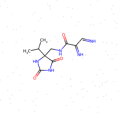 CC(C)C1(CNC(=O)C(=N)C=N)NC(=O)NC1=O